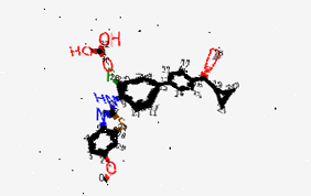 COc1ccc2nc(Nc3ccc(-c4ccc(C(=O)C5CC5)cc4)cc3F)sc2c1.O=C(O)O